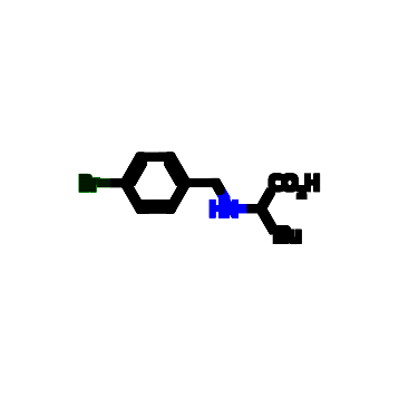 CCC(C)C(NCc1ccc(Br)cc1)C(=O)O